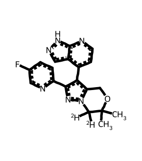 [2H]C1([2H])n2nc(-c3ccc(F)cn3)c(-c3ccnc4[nH]ncc34)c2COC1(C)C